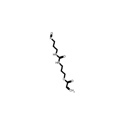 C=CC(=O)OCCCNC(=O)NCCCP=O